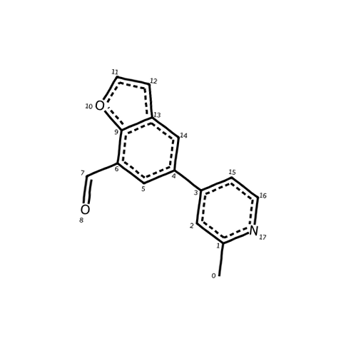 Cc1cc(-c2cc(C=O)c3occc3c2)ccn1